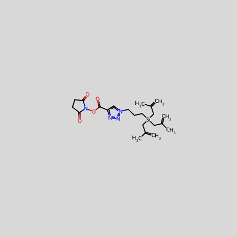 C=C(C)C[Si](CCCn1cc(C(=O)ON2C(=O)CCC2=O)nn1)(CC(=C)C)CC(=C)C